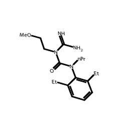 CCCN(C(=O)N(CCOC)C(=N)N)c1c(CC)cccc1CC